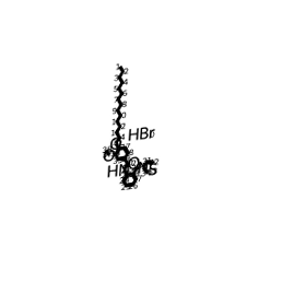 Br.CCCCCCCCCCCCCCOc1ccc(C(=O)Nc2ccccc2CN2C=CSC2)cc1OC